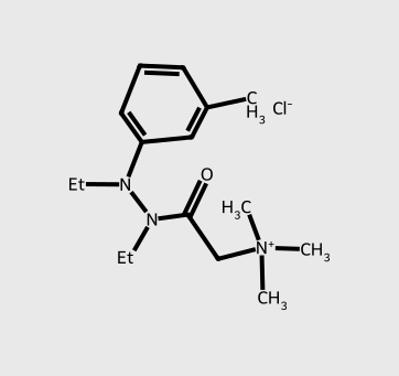 CCN(C(=O)C[N+](C)(C)C)N(CC)c1cccc(C)c1.[Cl-]